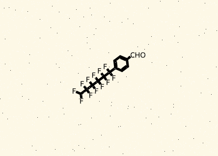 O=Cc1ccc(C(F)(F)C(F)(F)C(F)(F)C(F)(F)C(F)(F)C(F)F)cc1